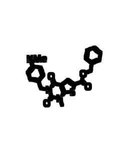 CNc1ccc(Cn2c(=O)c3cc(C(=O)OCc4ccccc4)sc3n(C)c2=O)cc1